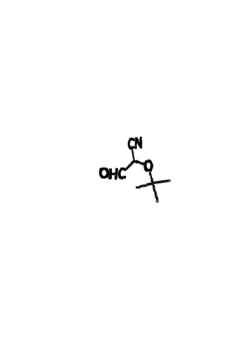 CC(C)(C)OC(C#N)C=O